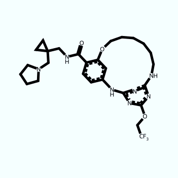 O=C(NCC1(CN2CCCC2)CC1)c1ccc2cc1OCCCCCCNc1nc(nc(OCC(F)(F)F)n1)N2